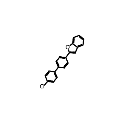 Clc1ccc(-c2ccc(-c3cc4ccccc4o3)cc2)cc1